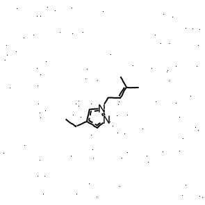 CCc1cnn(CC=C(C)C)c1